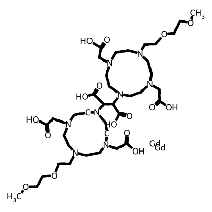 COCCOCCN1CCN(CC(=O)O)CCN(C(C(=O)O)C(C(=O)O)N2CCN(CC(=O)O)CCN(CCOCCOC)CCN(CC(=O)O)CC2)CCN(CC(=O)O)CC1.[Gd].[Gd]